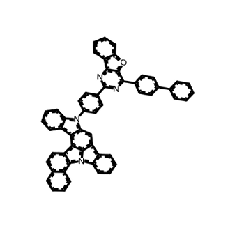 c1ccc(-c2ccc(-c3nc(-c4ccc(-n5c6ccccc6c6c7c8ccc9ccccc9c8n8c9ccccc9c(cc65)c78)cc4)nc4c3oc3ccccc34)cc2)cc1